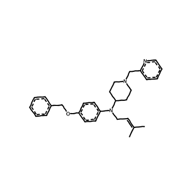 CC(C)=CCN(c1ccc(OCc2ccccc2)cc1)C1CCN(Cc2ccccn2)CC1